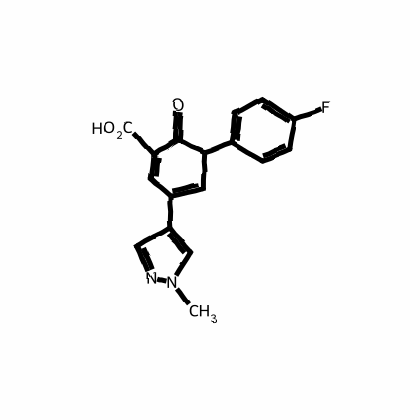 Cn1cc(C2=CC(c3ccc(F)cc3)C(=O)C(C(=O)O)=C2)cn1